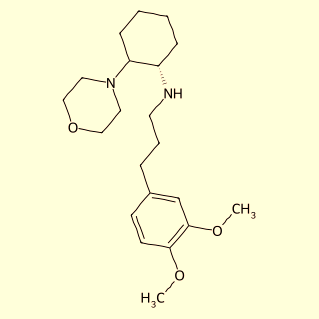 COc1ccc(CCCN[C@H]2CCCCC2N2CCOCC2)cc1OC